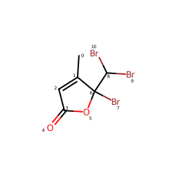 CC1=CC(=O)OC1(Br)C(Br)Br